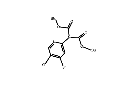 CC(C)(C)OC(=O)N(C(=O)OC(C)(C)C)c1cc(Br)c(Cl)cn1